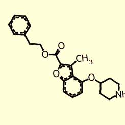 Cc1c(C(=O)OCCc2ccccc2)oc2cccc(OC3CCNCC3)c12